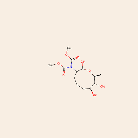 C[C@@H]1OC(O)C(N(C(=O)OC(C)(C)C)C(=O)OC(C)(C)C)CCC[C@H](O)[C@H]1O